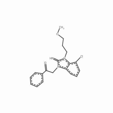 COCCCn1c(=N)n(CC(=O)c2ccccc2)c2cccc(Cl)c21